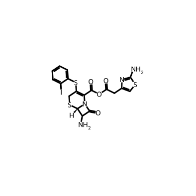 Nc1nc(CC(=O)OC(=O)C2=C(Sc3ccccc3I)CS[C@H]3C(N)C(=O)N23)cs1